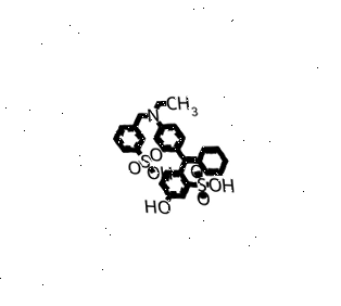 CCN(Cc1cccc(S(=O)(=O)O)c1)c1ccc(C(=C2C=CCC=C2)c2ccc(O)cc2S(=O)(=O)O)cc1